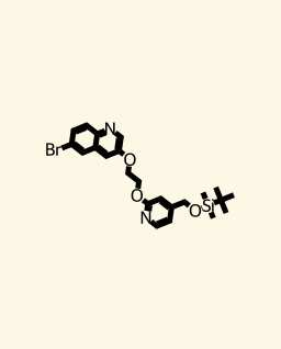 CC(C)(C)[Si](C)(C)OCc1ccnc(OCCOc2cnc3ccc(Br)cc3c2)c1